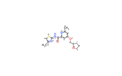 Cc1cc(OCC2CCCO2)cc(C(=O)Nc2nc(C)cs2)n1